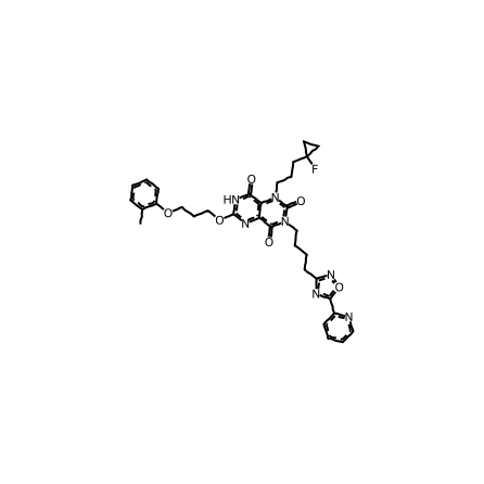 Cc1ccccc1OCCCOc1nc2c(=O)n(CCCCc3noc(-c4ccccn4)n3)c(=O)n(CCCC3(F)CC3)c2c(=O)[nH]1